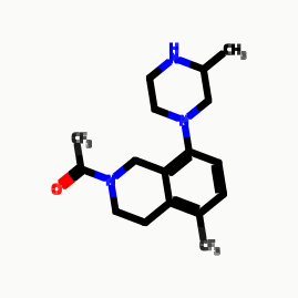 CC1CN(c2ccc(C(F)(F)F)c3c2CN(C(=O)C(F)(F)F)CC3)CCN1